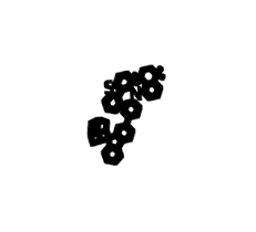 CC1(C)CCC(C)(C)c2c(N(c3ccc(-c4ccc5c(c4)C4(c6ccccc6-5)C5CC6CC7CC4C75C6)cc3)c3cccc4sc5ccccc5c34)cccc21